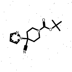 CC(C)(C)OC(=O)N1CCC(C#N)(n2cccn2)CC1